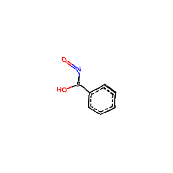 O=NB(O)c1ccccc1